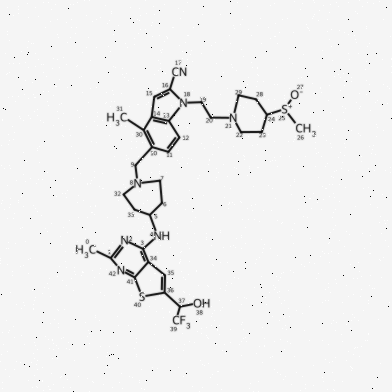 Cc1nc(NC2CCN(Cc3ccc4c(cc(C#N)n4CCN4CCC([S+](C)[O-])CC4)c3C)CC2)c2cc(C(O)C(F)(F)F)sc2n1